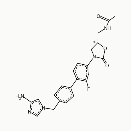 CC(=O)NC[C@H]1CN(c2ccc(-c3ccc(Cn4cnc(N)c4)cc3)c(F)c2)C(=O)O1